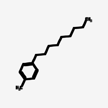 CCCCCCCCCc1ccc(C)cc1